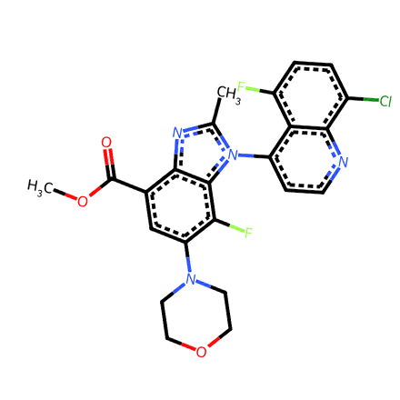 COC(=O)c1cc(N2CCOCC2)c(F)c2c1nc(C)n2-c1ccnc2c(Cl)ccc(F)c12